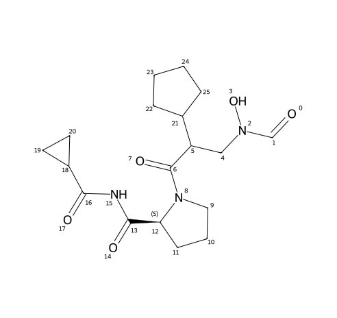 O=CN(O)CC(C(=O)N1CCC[C@H]1C(=O)NC(=O)C1CC1)C1CCCC1